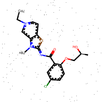 CCCCn1/c(=N/C(=O)c2cc(Cl)ccc2OC[C@H](C)O)sc2cc[n+](COC(C)=O)cc21